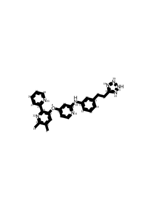 Cc1cc(Oc2ccnc(Nc3cccc(CCc4nn[nH]n4)c3)c2)c(-c2ccccn2)nc1C